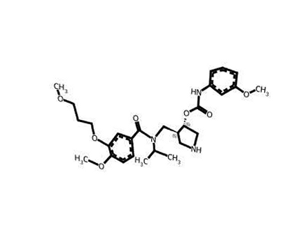 COCCCOc1cc(C(=O)N(C[C@@H]2CNC[C@H]2OC(=O)Nc2cccc(OC)c2)C(C)C)ccc1OC